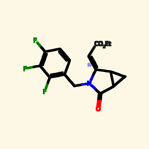 CCOC(=O)/C=C1\C2CC2C(=O)N1Cc1ccc(F)c(F)c1F